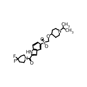 CC(C)N1CCC(OCS(=O)(=O)c2ccc3[nH]c(C(=O)N4CCC(F)(F)CC4)cc3c2)CC1